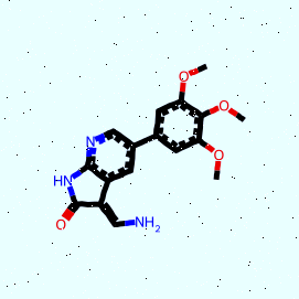 COc1cc(-c2cnc3c(c2)/C(=C\N)C(=O)N3)cc(OC)c1OC